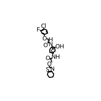 O=C(COc1nc2c(s1)CCCC2)NC12CCC(NC(=O)COc3ccc(Cl)c(F)c3)(CC1)C(O)C2